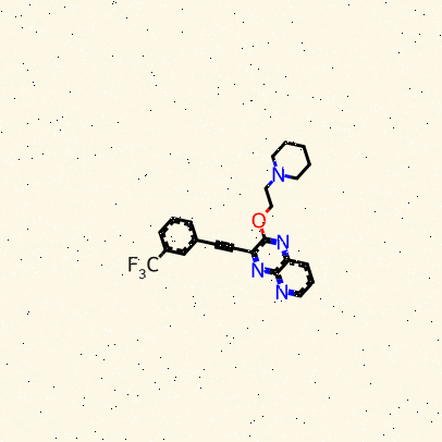 FC(F)(F)c1cccc(C#Cc2nc3ncccc3nc2OCCN2CCCCC2)c1